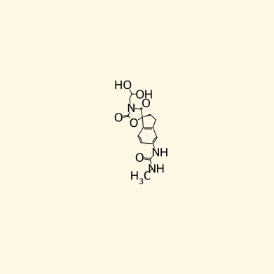 CNC(=O)Nc1ccc2c(c1)CC[C@]21OC(=O)N(CC(O)O)C1=O